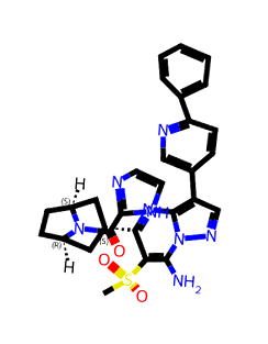 CS(=O)(=O)c1c([C@@H]2C[C@H]3CC[C@@H](C2)N3C(=O)c2ncc[nH]2)nc2c(-c3ccc(-c4ccccc4)nc3)cnn2c1N